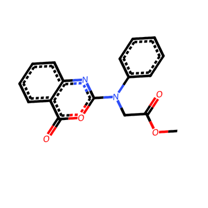 COC(=O)CN(c1ccccc1)c1nc2ccccc2c(=O)o1